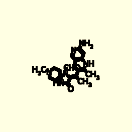 CC1=C(/C(C)=C2/C(=O)NC3(CCN(C)CC3)N2C=O)Cc2cnc(N)cc2N1